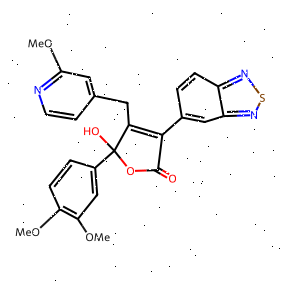 COc1cc(CC2=C(c3ccc4nsnc4c3)C(=O)OC2(O)c2ccc(OC)c(OC)c2)ccn1